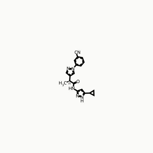 C[C@H](C(=O)Nc1cc(C2CC2)[nH]n1)c1cnn(-c2cccc(C#N)c2)c1